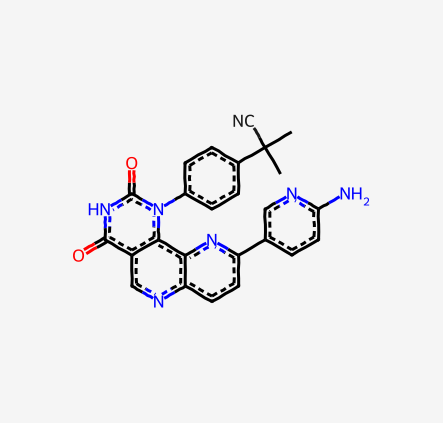 CC(C)(C#N)c1ccc(-n2c(=O)[nH]c(=O)c3cnc4ccc(-c5ccc(N)nc5)nc4c32)cc1